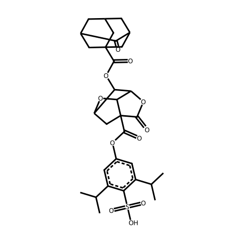 CC(C)c1cc(OC(=O)C23CC4OC2C(OC3=O)C4OC(=O)C23CC4CC(C2)C(=O)C(C4)C3)cc(C(C)C)c1S(=O)(=O)O